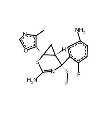 Cc1ncoc1[C@]12C[C@H]1[C@@](CF)(c1cc(N)ccc1F)N=C(N)S2